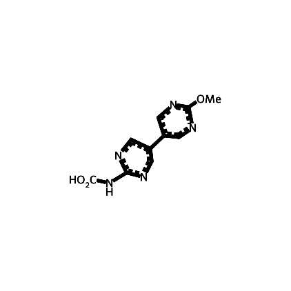 COc1ncc(-c2cnc(NC(=O)O)nc2)cn1